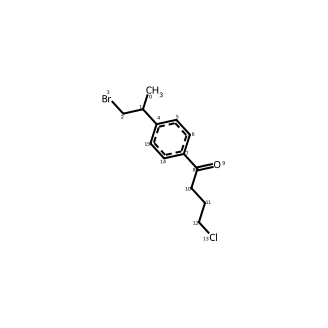 CC(CBr)c1ccc(C(=O)CCCCl)cc1